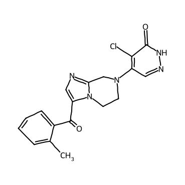 Cc1ccccc1C(=O)c1cnc2n1CCN(c1cn[nH]c(=O)c1Cl)C2